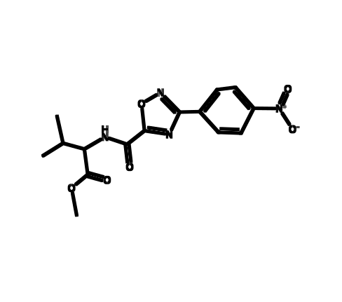 COC(=O)C(NC(=O)c1nc(-c2ccc([N+](=O)[O-])cc2)no1)C(C)C